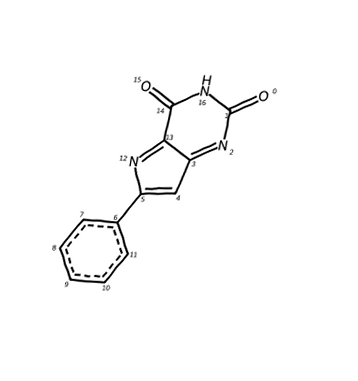 O=C1N=C2C=C(c3ccccc3)N=C2C(=O)N1